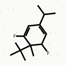 CC(C)C1=CC(F)C(C)(C(C)(C)C)C(F)=C1